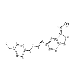 CCc1ccc(CC/C=C/c2ccc3c(c2)C(=NO)CC3)cc1